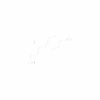 CC(C)c1ccc(/C(I)=C/CO)cc1